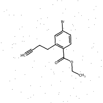 C#CCCc1cc(Br)ccc1C(=O)OCC